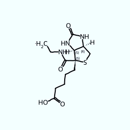 [CH2]CNC(=O)[C@@]1(CCCCC(=O)O)SC[C@@H]2NC(=O)N[C@@H]21